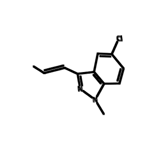 C/C=C/c1nn(C)c2ccc(Cl)cc12